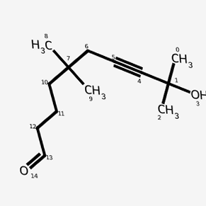 CC(C)(O)C#CCC(C)(C)CCCC=O